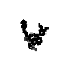 COc1cc2ncnc(Nc3ccc(F)c(CI)c3)c2cc1NC(=O)/C=C/CC1CC2(CCC2)C1